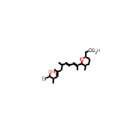 CCC(O)C(C)/C=C(\C)CC(C)/C=C/C=C(\C)C1OC(CC(=O)O)CCC1C